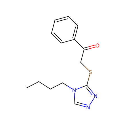 CCCCn1cnnc1SCC(=O)c1ccccc1